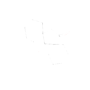 O=C1CC2(CCCCC2)C(=O)C12CCCCC2